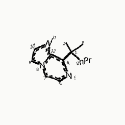 CCCC(C)(C)c1nccn2ccnc12